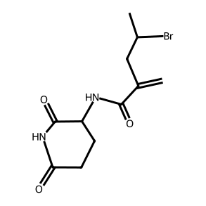 C=C(CC(C)Br)C(=O)NC1CCC(=O)NC1=O